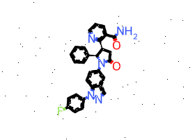 NC(=O)c1cccnc1[C@H]1CC(=O)N(c2ccc3c(cnn3-c3ccc(F)cc3)c2)[C@H]1c1ccccc1